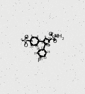 CS(=O)(=O)c1ccc(-c2cc(S(N)(=O)=O)sc2-c2ccc(F)cc2)cc1